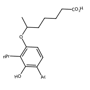 CCCc1c(OC(C)CCCCC(=O)O)ccc(C(C)=O)c1O